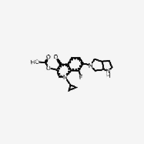 O=C(O)Oc1cn(C2CC2)c2c(F)c(N3CC4CCNC4C3)ccc2c1=O